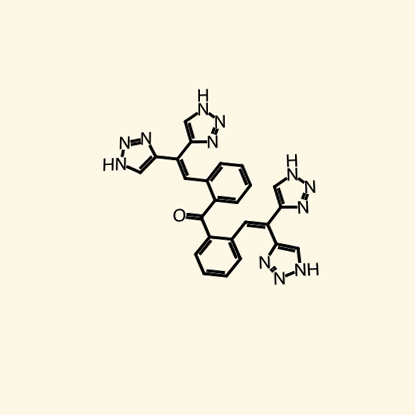 O=C(c1ccccc1C=C(c1c[nH]nn1)c1c[nH]nn1)c1ccccc1C=C(c1c[nH]nn1)c1c[nH]nn1